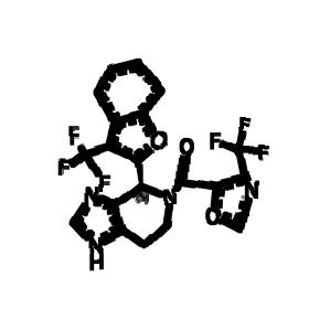 O=C(c1ocnc1C(F)(F)F)N1CCc2[nH]cnc2[C@H]1c1oc2ccccc2c1C(F)(F)F